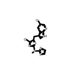 CN(c1nccs1)c1nc(Cl)c(Cc2c[nH]c3ncc(Cl)cc23)s1